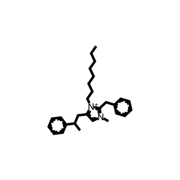 CCCCCCCC[n+]1c(CC(C)c2ccccc2)cn(C)c1Cc1ccccc1